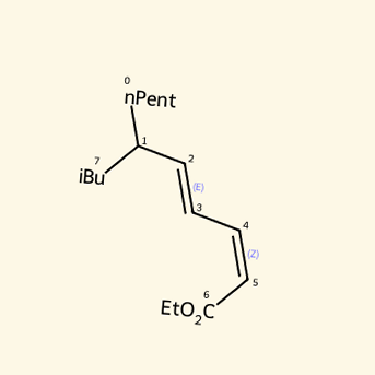 CCCCCC(/C=C/C=C\C(=O)OCC)C(C)CC